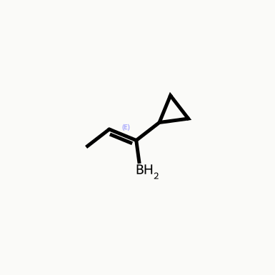 B/C(=C\C)C1CC1